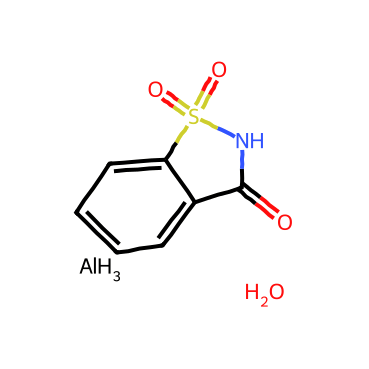 O.O=C1NS(=O)(=O)c2ccccc21.[AlH3]